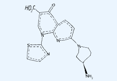 N[C@@H]1CCN(c2ccc3c(=O)c(C(=O)O)cn(-c4nccs4)c3n2)C1